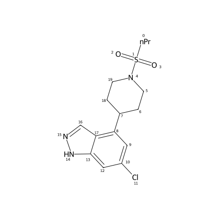 CCCS(=O)(=O)N1CCC(c2cc(Cl)cc3[nH]ncc23)CC1